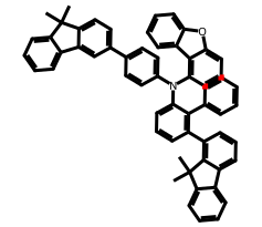 CC1(C)c2ccccc2-c2cc(-c3ccc(N(c4cccc(-c5cccc6c5C(C)(C)c5ccccc5-6)c4-c4ccccc4)c4cccc5oc6ccccc6c45)cc3)ccc21